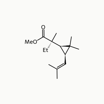 CC[C@@](C)(C(=O)OC)[C@@H]1[C@H](C=C(C)C)C1(C)C